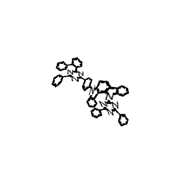 c1ccc(-c2nc(-c3ccc(-n4c5ccccc5c5c4ccc4c6ccccc6n(-c6nc(-c7ccccc7)nc(-c7ccccc7)n6)c45)cc3)nc(-c3ccccc3-c3ccccc3)n2)cc1